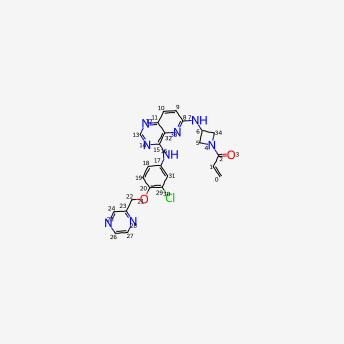 C=CC(=O)N1CC(Nc2ccc3ncnc(Nc4ccc(OCc5cnccn5)c(Cl)c4)c3n2)C1